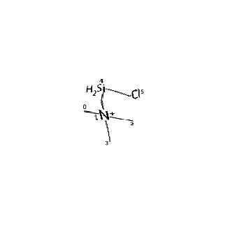 C[N+](C)(C)[SiH2]Cl